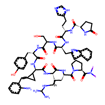 CC(C)C[C@H](NC(=O)[C@H](NC(=O)[C@H](Cc1ccc(O)cc1)NC(=O)C(CO)NC(=O)[C@H](Cc1cc2ccccc2[nH]1)NC(=O)[C@H](CCc1cnc[nH]1)NC(=O)[C@@H]1CCC(=O)N1)C1C/C1=C\c1ccccc1N)C(=O)N[C@@H](CCCNC(N)N)C(=O)N1CCC[C@H]1C(=O)N(I)I